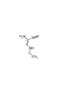 CCN/C=C(/N)C#N